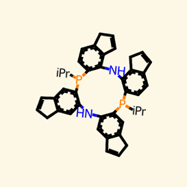 CC(C)P1c2cc3c(cc2Nc2cc4c(cc2P(C(C)C)c2ccc5c(c2Nc2c1ccc1c2C=CC1)CC=C5)CC=C4)CC=C3